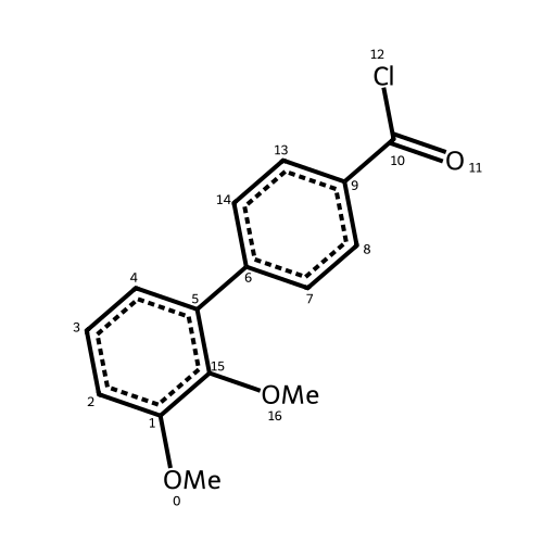 COc1cccc(-c2ccc(C(=O)Cl)cc2)c1OC